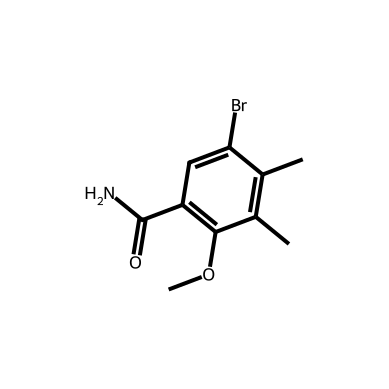 COc1c(C(N)=O)cc(Br)c(C)c1C